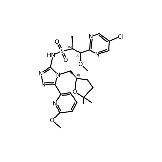 COc1cccc(-c2nnc(NS(=O)(=O)[C@@H](C)[C@H](OC)c3ncc(Cl)cn3)n2C[C@H]2CCC(C)(C)O2)n1